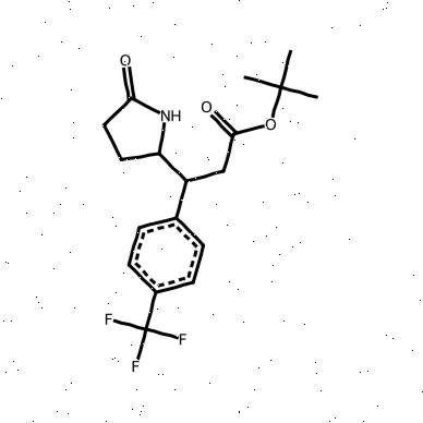 CC(C)(C)OC(=O)CC(c1ccc(C(F)(F)F)cc1)C1CCC(=O)N1